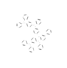 Cc1ccc(N(c2ccc3c(c2)Oc2c(-c4ccccc4)ccc4c2B3c2ccc(N(c3ccccc3)c3ccccc3)cc2N4c2ccccc2)c2ccc3c(c2)c2ccccc2n3-c2ccccc2)cc1